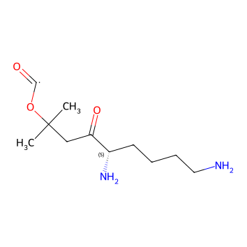 CC(C)(CC(=O)[C@@H](N)CCCCN)O[C]=O